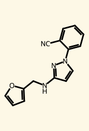 N#Cc1ccccc1-n1ccc(NCc2ccco2)n1